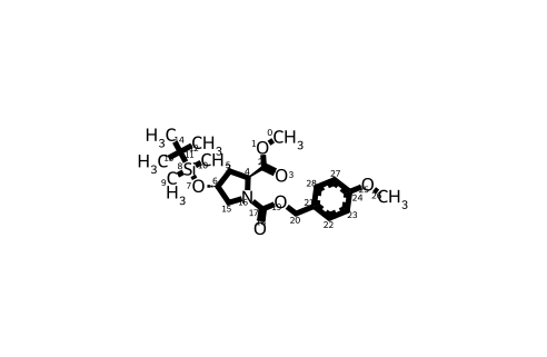 COC(=O)[C@@H]1C[C@@H](O[Si](C)(C)C(C)(C)C)CN1C(=O)OCc1ccc(OC)cc1